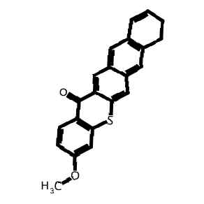 COc1ccc2c(=O)c3cc4cc5c(cc4cc3sc2c1)CCC=C5